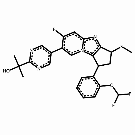 CSC1CC(c2ccccc2OC(F)F)c2c1nc1cc(F)c(-c3cnc(C(C)(C)O)nc3)cn21